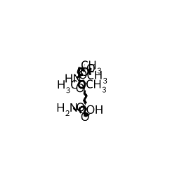 CC(=O)O[C@@H](C)/C=C\C(=O)N[C@@H]1C[C@H](C)[C@H](C/C=C/C=C/[C@H]2O[C@H](CN)C[C@@]3(CO3)[C@@H]2O)O[C@@H]1C